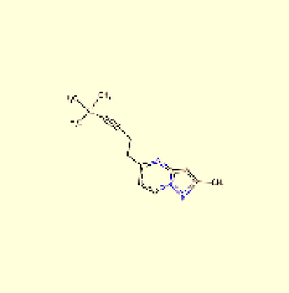 Cc1cc2nc(CCC#C[Si](C)(C)C)ccn2n1